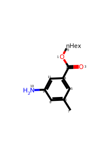 CCCCCCOC(=O)c1cc(C)cc(N)c1